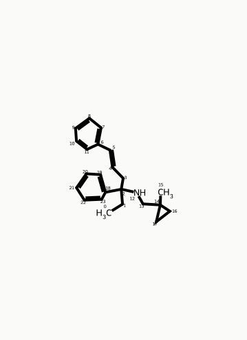 CCC(CC=Cc1ccccc1)(NCC1(C)CC1)c1ccccc1